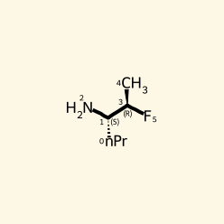 CCC[C@H](N)[C@@H](C)F